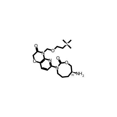 CS(C)(C)CCOCN1C(=O)COc2ccc(N3CCC[C@H](N)COC3=O)nc21